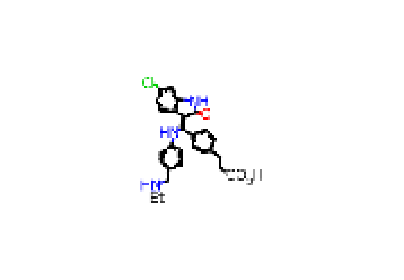 CCNCc1ccc(NC(=C2C(=O)Nc3cc(Cl)ccc32)c2ccc(CCC(=O)O)cc2)cc1